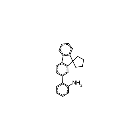 Nc1ccccc1-c1ccc2c(c1)C1(CCCC1)c1ccccc1-2